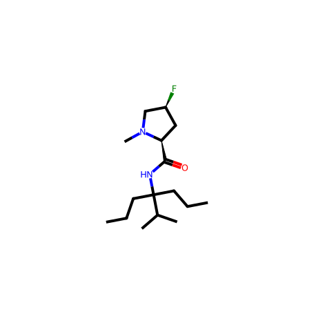 CCCC(CCC)(NC(=O)[C@@H]1C[C@H](F)CN1C)C(C)C